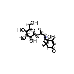 CC1=CC(=O)CC(C)(C)[C@@]1(O)/C=C/C(C)O[C@@H]1O[C@H](CO)[C@@H](O)[C@H](O)[C@H]1O